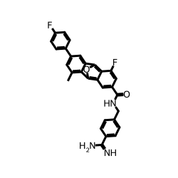 Cc1cc(-c2ccc(F)cc2)cc2c3oc(c4cc(C(=O)NCc5ccc(C(=N)N)cc5)cc(F)c43)c12